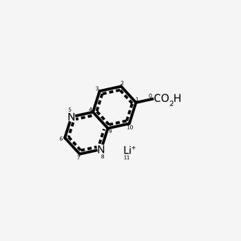 O=C(O)c1ccc2nccnc2c1.[Li+]